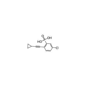 O=P(O)(O)c1cc(Cl)ccc1C#CC1CC1